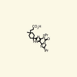 CCCN1C(=O)N2C[C@@H](C(C)C)N=C2c2[nH]c(C3(C)CCC(C)(CCC(=O)O)CC3)nc21